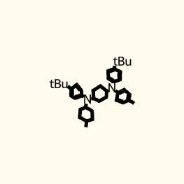 Cc1ccc(N(c2ccc(C(C)(C)C)cc2)C2CCC(N(c3ccc(C(C)(C)C)cc3)C3CCC(C)CC3)CC2)cc1